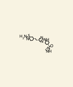 Nc1nc2ccc(/C=C/c3cnc(Nc4ccc(C(=O)N5CCNCC5)cc4)nc3)cc2s1